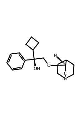 O[C@@](CO[C@H]1CN2CCC1CC2)(c1ccccc1)C1CCC1